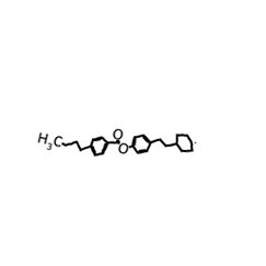 CCCCc1ccc(C(=O)Oc2ccc(CCC3CC[CH]CC3)cc2)cc1